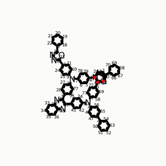 c1ccc(-c2ccc(N(c3ccc(-c4nnc(-c5ccccc5)o4)cc3)c3ccc(-c4nc5ccccc5nc4-c4ccc(N(c5ccc(-c6ccccc6)cc5)c5ccc(-c6nnc(-c7ccccc7)o6)cc5)cc4)cc3)cc2)cc1